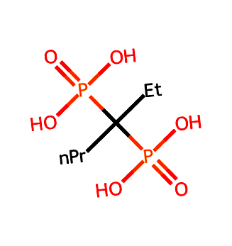 CCCC(CC)(P(=O)(O)O)P(=O)(O)O